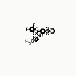 Cn1ccc(NC(=O)C(Oc2ccc(F)cc2F)c2ccc(S(=O)(=O)N3CCCCC3)cc2)n1